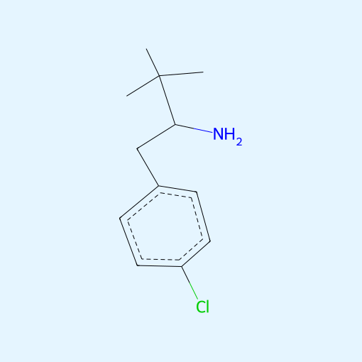 CC(C)(C)C(N)Cc1ccc(Cl)cc1